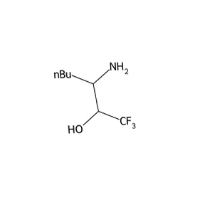 CCCCC(N)C(O)C(F)(F)F